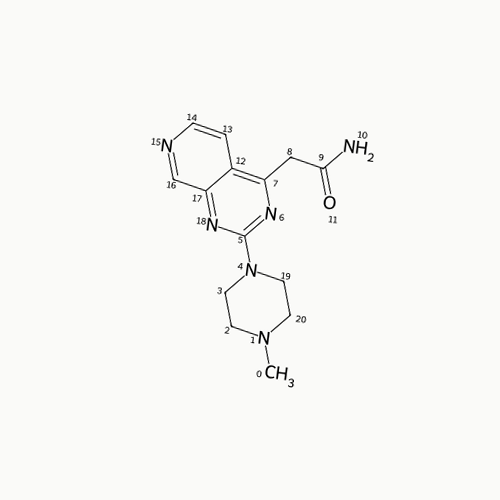 CN1CCN(c2nc(CC(N)=O)c3ccncc3n2)CC1